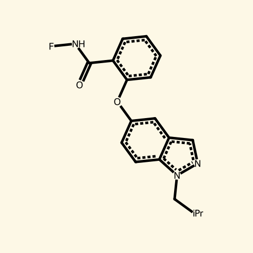 CC(C)Cn1ncc2cc(Oc3ccccc3C(=O)NF)ccc21